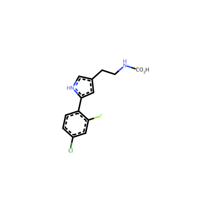 O=C(O)NCCc1c[nH]c(-c2ccc(Cl)cc2F)c1